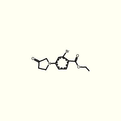 CCOC(=O)c1ccc(N2CCC(=O)C2)cc1Br